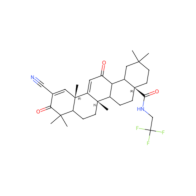 CC1(C)CC[C@]2(C(=O)NCC(F)(F)F)CCC3C(C(=O)C=C4[C@@]5(C)C=C(C#N)C(=O)C(C)(C)C5CC[C@]43C)C2C1